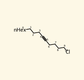 CCCCCCCCCC#CCCCCCl